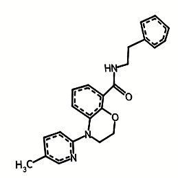 Cc1ccc(N2CCOc3c(C(=O)NCCc4ccccc4)cccc32)nc1